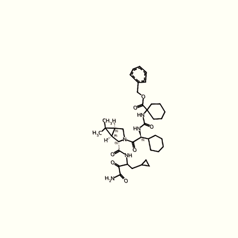 CC1(C)[C@@H]2[C@@H](C(=O)NC(CC3CC3)C(=O)C(N)=O)N(C(=O)[C@@H](NC(=O)NC3(C(=O)OCc4ccccc4)CCCCC3)C3CCCCC3)C[C@@H]21